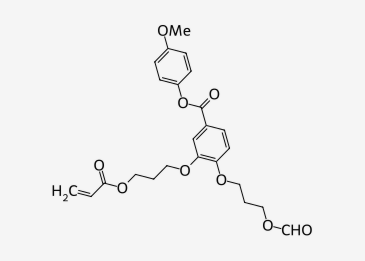 C=CC(=O)OCCCOc1cc(C(=O)Oc2ccc(OC)cc2)ccc1OCCCOC=O